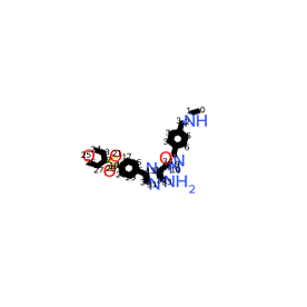 CCNCc1ccc(-c2nnc(-c3nc(-c4ccc(S(=O)(=O)C5CCOCC5)cc4)cnc3N)o2)cc1